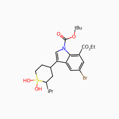 CCOC(=O)c1cc(Br)cc2c(C3CCS(O)(O)C(C(C)C)C3)cn(C(=O)OC(C)(C)C)c12